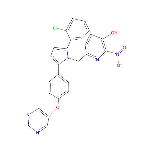 O=[N+]([O-])c1nc(Cn2c(-c3ccc(Oc4cncnc4)cc3)ccc2-c2ccccc2Cl)ccc1O